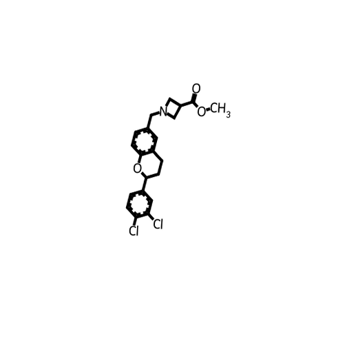 COC(=O)C1CN(Cc2ccc3c(c2)CCC(c2ccc(Cl)c(Cl)c2)O3)C1